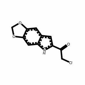 O=C(CCl)c1cc2cc3c(cc2[nH]1)OCO3